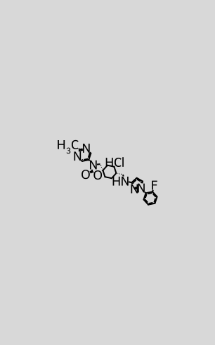 Cc1ncc(N2C[C@]3(CC[C@@H](CNc4ccn(-c5ccccc5F)n4)CC3)OC2=O)cn1.Cl